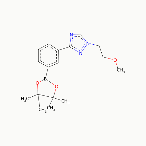 COCCn1cnc(-c2cccc(B3OC(C)(C)C(C)(C)O3)c2)n1